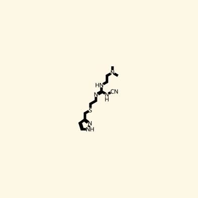 CN(C)CCN/C(=N/CCSCc1cc[nH]n1)NC#N